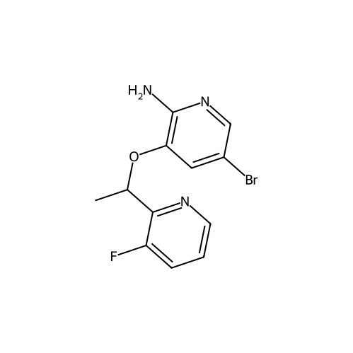 CC(Oc1cc(Br)cnc1N)c1ncccc1F